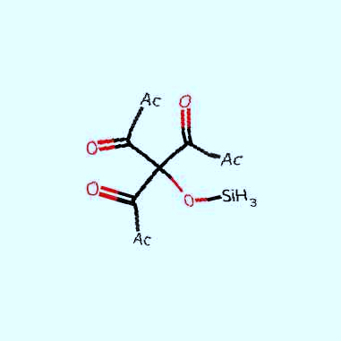 CC(=O)C(=O)C(O[SiH3])(C(=O)C(C)=O)C(=O)C(C)=O